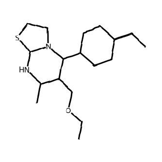 CCOCC1C(C)NC2SCCN2C1C1CCC(CC)CC1